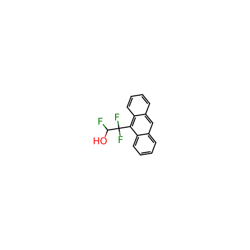 OC(F)C(F)(F)c1c2ccccc2cc2ccccc12